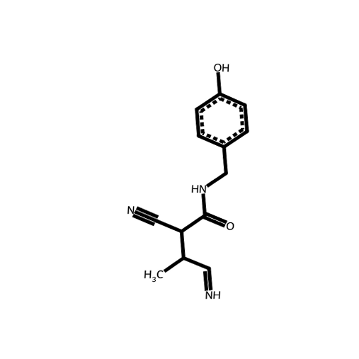 CC(C=N)C(C#N)C(=O)NCc1ccc(O)cc1